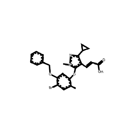 Cc1cc(Br)c(OCc2ccccc2)cc1Oc1c(/C=C/C(=O)O)c(C2CC2)nn1C